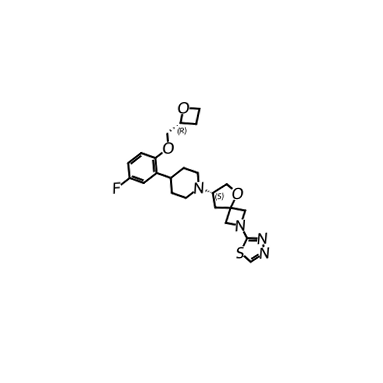 Fc1ccc(OC[C@H]2CCO2)c(C2CCN([C@@H]3COC4(C3)CN(c3nncs3)C4)CC2)c1